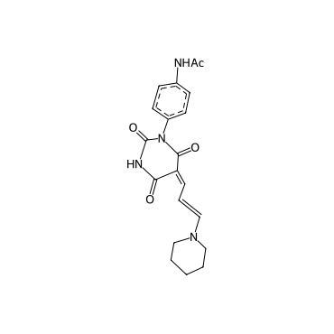 CC(=O)Nc1ccc(N2C(=O)NC(=O)/C(=C\C=C\N3CCCCC3)C2=O)cc1